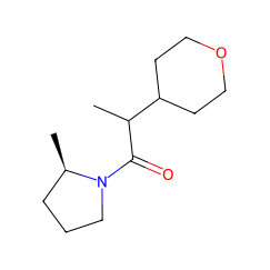 CC(C(=O)N1CCC[C@H]1C)C1CCOCC1